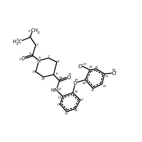 CC(C)CC(=O)N1CCC(C(=O)Nc2ccccc2Oc2ccc(Cl)cc2Cl)CC1